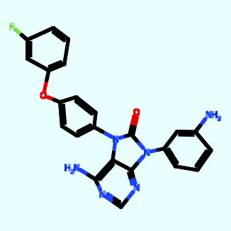 Nc1cccc(-n2c(=O)n(-c3ccc(Oc4cccc(F)c4)cc3)c3c(N)ncnc32)c1